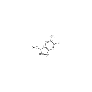 O=CC1NNc2cc(Cl)c([N+](=O)[O-])cc21